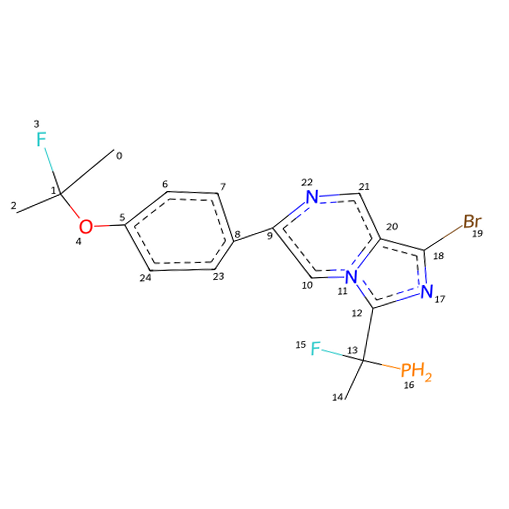 CC(C)(F)Oc1ccc(-c2cn3c(C(C)(F)P)nc(Br)c3cn2)cc1